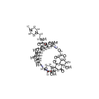 CO[C@H]1/C=C/O[C@@]2(C)Oc3c(C)c(O)c4c(c3C2=O)C(=O)C(N2CCOCC2)=C(NC(=O)/C(C)=C\C=C\[C@H](C)[C@H](O)[C@@H](C)[C@@H](O)[C@@H](C)[C@H](OC(=O)NCCN2CCN(C)CC2)[C@@H]1C)C4=O